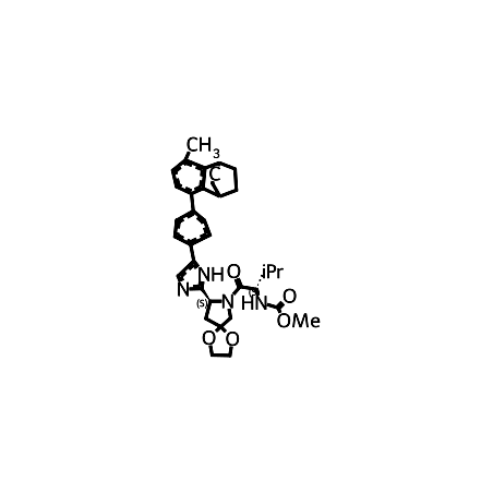 COC(=O)N[C@H](C(=O)N1CC2(C[C@H]1c1ncc(-c3ccc(-c4ccc(C)c5c4C4CCC5CC4)cc3)[nH]1)OCCO2)C(C)C